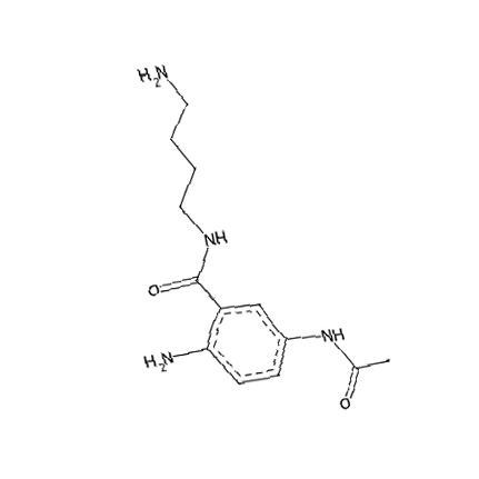 CC(=O)Nc1ccc(N)c(C(=O)NCCCCN)c1